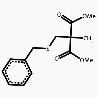 COC(=O)C(C)(CSCc1ccccc1)C(=O)OC